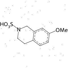 COc1ccc2c(c1)CN(S(=O)(=O)O)CC2